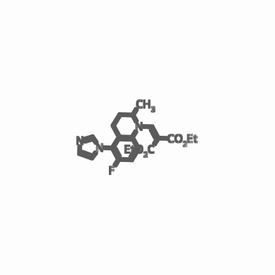 CCOC(=O)C(=CN1c2ccc(F)c(-n3ccnc3)c2CCC1C)C(=O)OCC